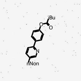 CCCCCCCCCc1ccc(-c2ccc(OC(=O)C(C)CC)cc2)nc1